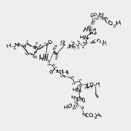 Nc1ccc(C(=O)NC(CCC(=O)NCCCC[C@H](NC(=O)NC(CCC(=O)O)C(=O)O)C(=O)O)CCC(=O)NCCCC[C@H](NC(=O)NC(CCC(=O)O)C(=O)O)C(=O)O)cc1